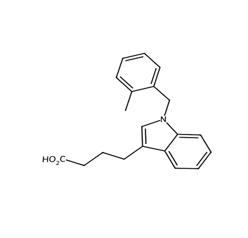 Cc1ccccc1Cn1cc(CCCC(=O)O)c2ccccc21